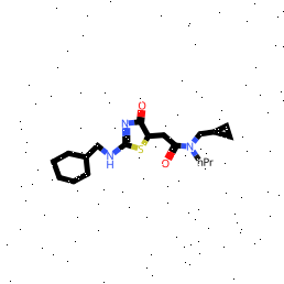 CCCN(CC1CC1)C(=O)CC1SC(NCC2CCCCC2)=NC1=O